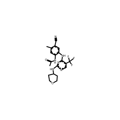 CC(=O)Nc1cc(C)c(C#N)cc1Nc1nc(NC2CCOCC2)ncc1C(F)(F)F